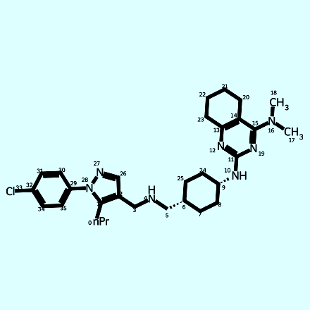 CCCc1c(CNC[C@H]2CC[C@@H](Nc3nc4c(c(N(C)C)n3)CCCC4)CC2)cnn1-c1ccc(Cl)cc1